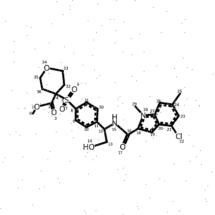 COC(=O)C1(S(=O)(=O)c2ccc(C(CO)NC(=O)c3cc4c(Cl)cc(C)cc4n3C)cc2)CCOCC1